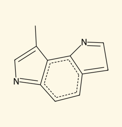 CC1=CN=c2ccc3c(c21)N=CC=3